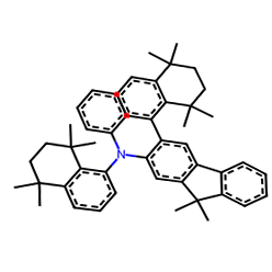 CC1(C)CCC(C)(C)c2c(-c3cc4c(cc3N(c3ccccc3)c3cccc5c3C(C)(C)CCC5(C)C)C(C)(C)c3ccccc3-4)cccc21